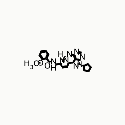 COc1ccccc1C(=O)NCc1ccc(-c2nn(C3CCCC3)c3ncnc(N)c23)nn1